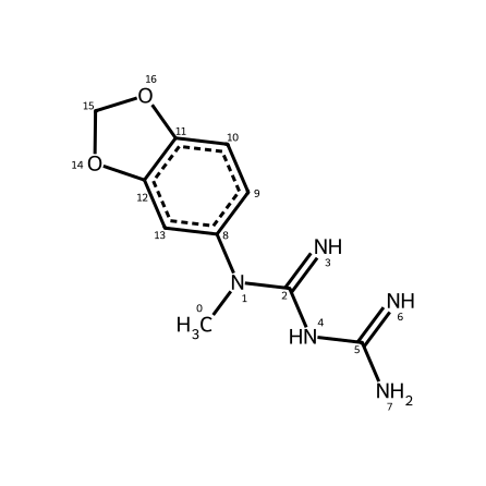 CN(C(=N)NC(=N)N)c1ccc2c(c1)OCO2